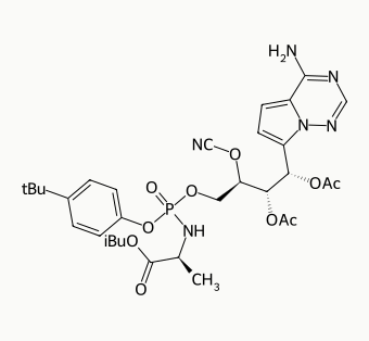 CC(=O)O[C@H]([C@@H](COP(=O)(N[C@@H](C)C(=O)OCC(C)C)Oc1ccc(C(C)(C)C)cc1)OC#N)[C@@H](OC(C)=O)c1ccc2c(N)ncnn12